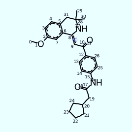 COc1ccc2c(c1)/C(=C/C(=O)c1ccc(NC(=O)CC3CCCC3)cc1)NC(C)(C)C2